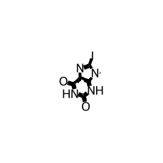 O=c1[nH]c2c(c(=O)[nH]1)N=C(I)[N]2